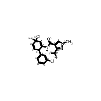 Cn1cc(C(=O)NC2=CC(F)(Cl)C=CC2c2cccc(Cl)c2)c(C(F)F)n1